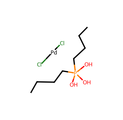 CCCCP(O)(O)(O)CCCC.[Cl][Pd][Cl]